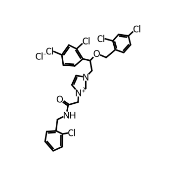 O=C(C[n+]1ccn(CC(OCc2ccc(Cl)cc2Cl)c2ccc(Cl)cc2Cl)c1)NCc1ccccc1Cl.[Cl-]